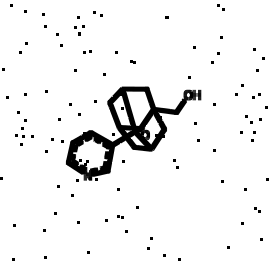 O=C1C2CC3CC1(CO)CC(C2)C3c1cccnc1